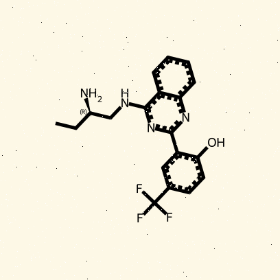 CC[C@@H](N)CNc1nc(-c2cc(C(F)(F)F)ccc2O)nc2ccccc12